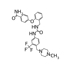 CN1CCN(Cc2ccc(NC(=O)NCc3ccccc3Oc3ccc(C(N)=O)cc3)cc2C(F)(F)F)CC1